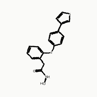 O=C(Cc1ccccc1Sc1ccc(-c2ccsc2)cc1)NO